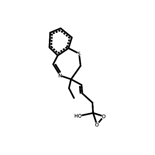 CCC1(C=CCC2(O)OO2)CSc2ccccc2C=N1